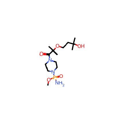 COP(N)(=O)N1CCN(C(=O)C(C)(C)OCCC(C)(C)O)CC1